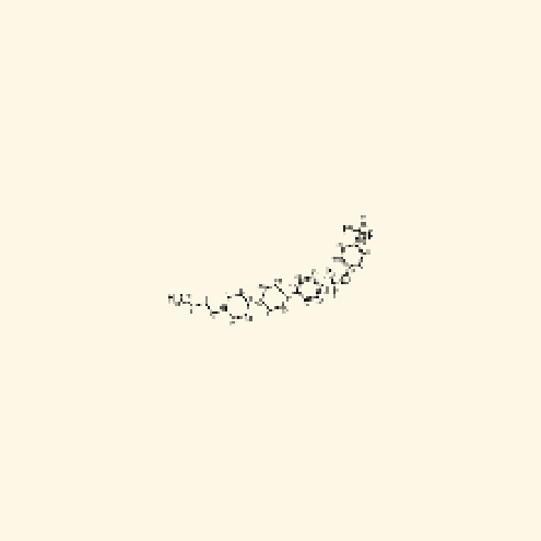 CCCC[C@H]1CC[C@H](C2CCC(c3ccc(C(F)(F)Oc4ccc(C(F)(F)F)cc4)cc3)CC2)CC1